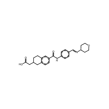 O=C(O)CC1CCc2cc(C(=O)Nc3ccc(C=NN4CCOCC4)cc3)ccc2C1